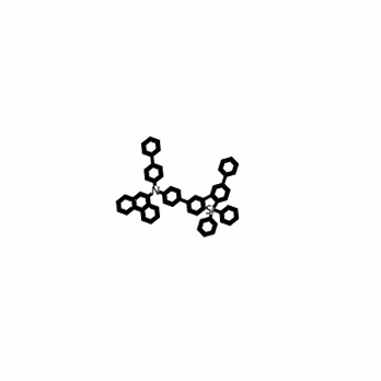 c1ccc(-c2ccc(N(c3ccc(-c4ccc5c(c4)-c4cc(-c6ccccc6)ccc4[Si]5(c4ccccc4)c4ccccc4)cc3)c3cc4ccccc4c4ccccc34)cc2)cc1